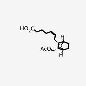 CC(=O)OC[C@@H]1[C@H](C/C=C\CCCC(=O)O)[C@@H]2CC[C@H]1O2